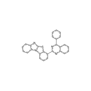 c1ccc(-c2nc(-c3cccc4c3sc3nc5ccccc5n34)nc3ccccc23)cc1